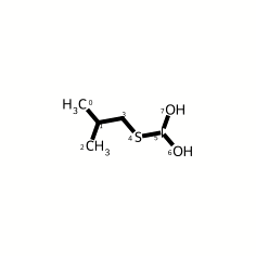 CC(C)CSI(O)O